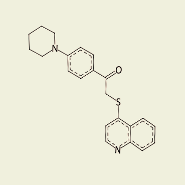 O=C(CSc1ccnc2ccccc12)c1ccc(N2CCCCC2)cc1